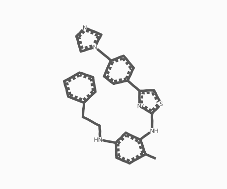 Cc1ccc(NCCc2ccccc2)cc1Nc1nc(-c2ccc(-n3ccnc3)cc2)cs1